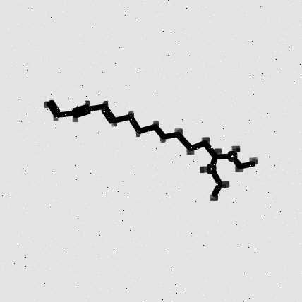 C=CC#C/C=C/CCCCCCCC(OCC)OCC